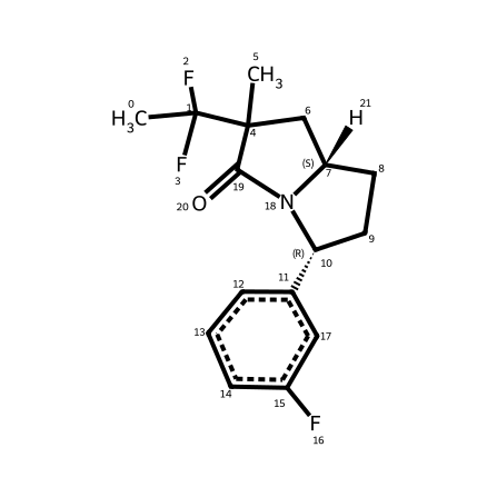 CC(F)(F)C1(C)C[C@@H]2CC[C@H](c3cccc(F)c3)N2C1=O